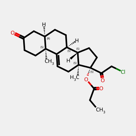 CCC(=O)O[C@@]1(C(=O)CCl)CC[C@H]2[C@@H]3CC[C@@H]4CC(=O)CC[C@]4(C)C3=CC[C@@]21C